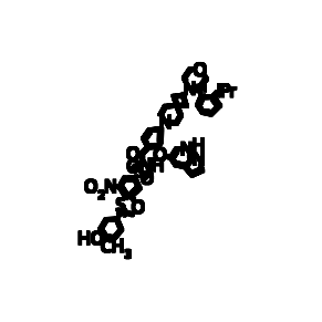 CC(C)c1ccccc1[C@@H]1COCCN1C1CC2(CCN(c3ccc(C(=O)NS(=O)(=O)c4cc5c(c([N+](=O)[O-])c4)S[C@@H](C4CCC(C)(O)CC4)CO5)c(Oc4cnc5[nH]ccc5c4)c3)CC2)C1